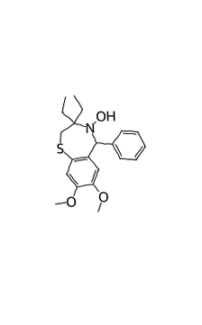 CCC1(CC)CSc2cc(OC)c(OC)cc2C(c2ccccc2)N1O